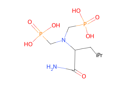 CC(C)CC(C(N)=O)N(CP(=O)(O)O)CP(=O)(O)O